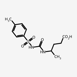 Cc1ccc(S(=O)(=O)NC(=O)NC(C)CCC(=O)O)cc1